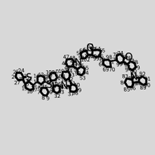 c1ccc([Si](c2ccccc2)(c2cccc(-c3cccc4c3sc3ccccc34)c2)c2cccc(-n3c4ccccc4c4cc(-c5cccc6c5c5ccccc5n6-c5ccc6oc7ccc(-c8cccc(-c9ccc%10oc%11ccc(-n%12c%13ccccc%13c%13ccccc%13%12)cc%11c%10c9)c8)cc7c6c5)ccc43)c2)cc1